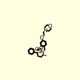 C[C@H]1CCC(c2ccccc2)S(=O)(=O)N1Cc1ccc(OCCN2CCOCC2)cc1